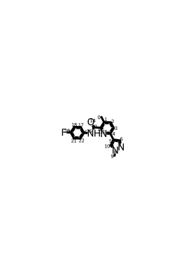 Cc1ccc(-c2cnn(C)c2)nc1C(=O)Nc1ccc(F)cc1